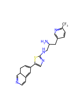 N[C@H](CNc1ncc(C2=CCC3C=NC=CC3=C2)s1)Cc1ccc(C(F)(F)F)nc1